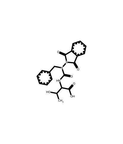 CC(O)C(NC(=O)N(Cc1ccccc1)N1C(=O)c2ccccc2C1=O)C(=O)O